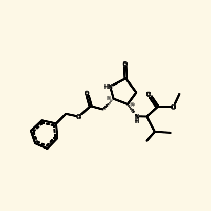 COC(=O)C(N[C@H]1CC(=O)N[C@H]1CC(=O)OCc1ccccc1)C(C)C